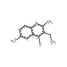 CCc1c(C)nc2ccc(C)cc2c1Cl